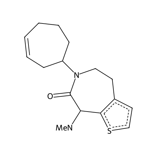 CNC1C(=O)N(C2CC=CCCC2)CCc2ccsc21